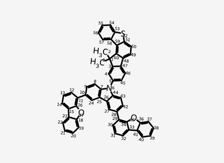 CC1(C)c2cc(-n3c4ccc(-c5cccc6c5oc5ccccc56)cc4c4cc(-c5cccc6c5oc5ccccc56)ccc43)ccc2-c2ccc3sc4ccccc4c3c21